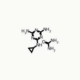 NC(N)=O.Nc1nc(N)nc(NC2CC2)n1